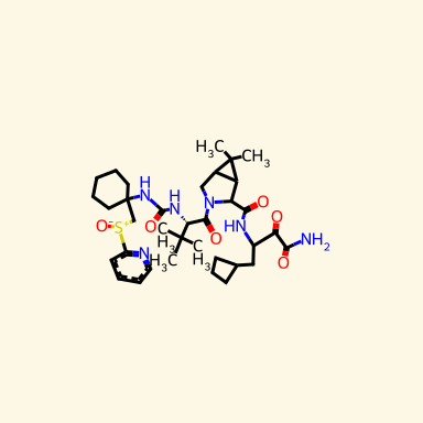 CC1(C)C2CN(C(=O)[C@@H](NC(=O)NC3(C[S+]([O-])c4ccccn4)CCCCC3)C(C)(C)C)C(C(=O)NC(CC3CCC3)C(=O)C(N)=O)C21